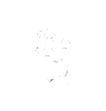 CCC(N)(C#N)CC(C(=O)Oc1ccccc1C(OC(=O)C(CC(N)(C#N)CC)C(F)F)c1ccccc1)C(F)F